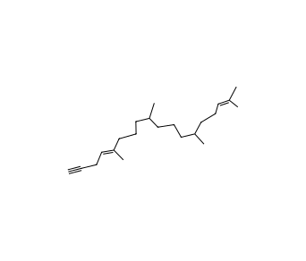 C#CC/C=C(\C)CCCC(C)CCCC(C)CCC=C(C)C